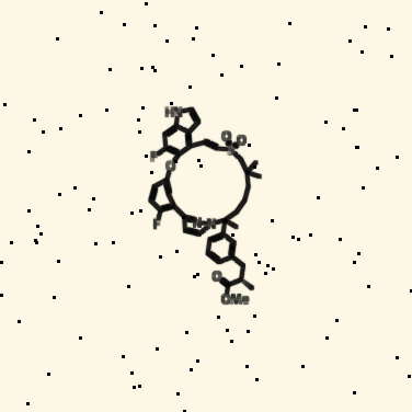 COC(=O)[C@H](C)Cc1cccc(C2(C)CCCC(C)(C)CS(=O)(=O)/C=C/c3c(c(F)cc4[nH]ccc34)Oc3ccc(F)c(c3)-c3ccn2n3)c1